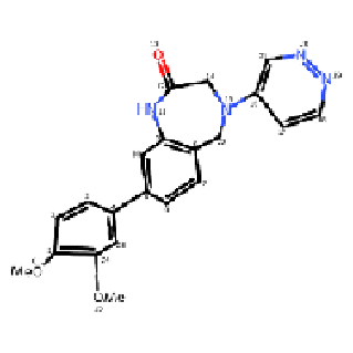 COc1ccc(-c2ccc3c(c2)NC(=O)CN(c2ccnnc2)C3)cc1OC